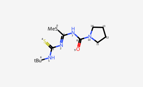 CSC(=NC(=S)NC(C)(C)C)NC(=O)N1CCCC1